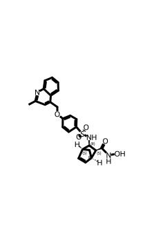 Cc1cc(COc2ccc(S(=O)(=O)N[C@H]3[C@@H](C(=O)NO)[C@H]4C=C[C@@H]3C4)cc2)c2ccccc2n1